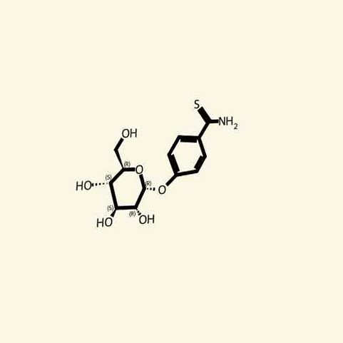 NC(=S)c1ccc(O[C@H]2O[C@H](CO)[C@@H](O)[C@H](O)[C@H]2O)cc1